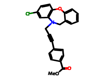 COC(=O)c1ccc(C#CCN2Cc3ccccc3Oc3ccc(Cl)cc32)cc1